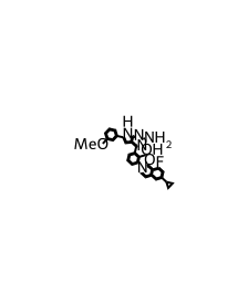 COc1cccc(-c2cc3c(-c4cccc(-n5ccc6cc(C7CC7)cc(F)c6c5=O)c4CO)nc(N)nc3[nH]2)c1